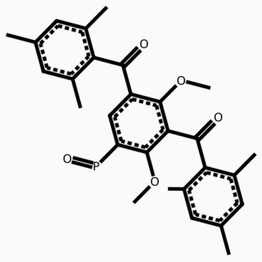 COc1c(P=O)cc(C(=O)c2c(C)cc(C)cc2C)c(OC)c1C(=O)c1c(C)cc(C)cc1C